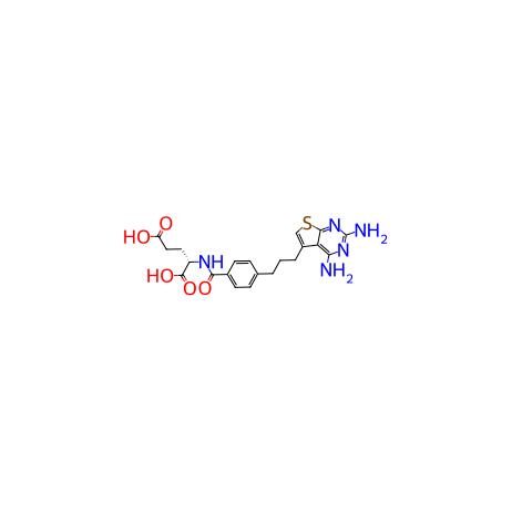 Nc1nc(N)c2c(CCCc3ccc(C(=O)N[C@@H](CCC(=O)O)C(=O)O)cc3)csc2n1